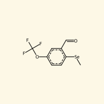 C[Se]c1ccc(OC(F)(F)F)cc1C=O